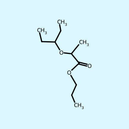 CCCOC(=O)C(C)OC(CC)CC